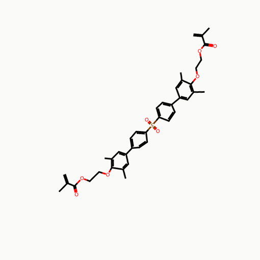 C=C(C)C(=O)OCCOc1c(C)cc(-c2ccc(S(=O)(=O)c3ccc(-c4cc(C)c(OCCOC(=O)C(=C)C)c(C)c4)cc3)cc2)cc1C